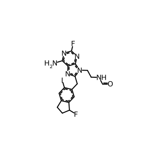 Nc1nc(F)nc2c1nc(Cc1cc3c(cc1I)CCC3F)n2CCNC=O